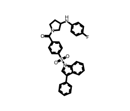 O=C(c1ccc(S(=O)(=O)n2cc(-c3ccccc3)c3ccccc32)cc1)N1CCC(Nc2ccc(F)cc2)C1